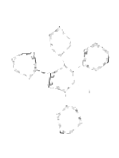 [SiH3]c1c(-c2ccccc2)cc(-c2ccccc2)c(-c2ccccc2)c1-c1ccccc1